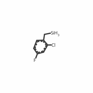 Fc1ccc(C[SiH3])c(Cl)c1